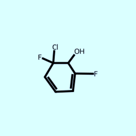 OC1C(F)=CC=CC1(F)Cl